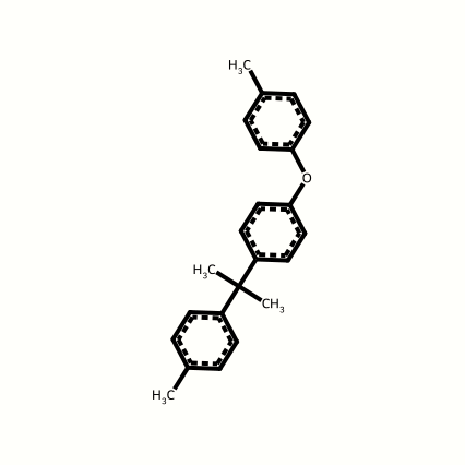 Cc1ccc(Oc2ccc(C(C)(C)c3ccc(C)cc3)cc2)cc1